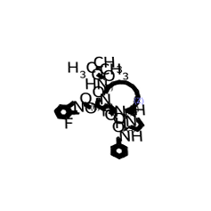 CC(C)(C)OC(=O)N[C@H]1CCCCC/C=C\[C@@H]2C[C@@]2(C(=O)N2CCC[C@H]2C(=O)NCc2ccccc2)NC(=O)[C@@H]2C[C@@H](OC(=O)N3Cc4cccc(F)c4C3)CN2C1=O